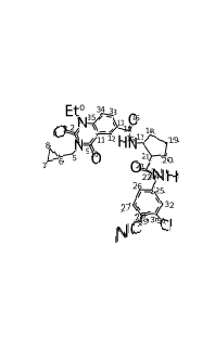 CCn1c(=O)n(CC2CC2)c(=O)c2cc(C(=O)NC3CCCC3C(=O)Nc3ccc(C#N)c(Cl)c3)ccc21